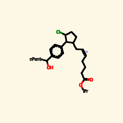 CCCCCC(O)c1ccc(C2C(Cl)CCC2C/C=C\CCCC(=O)OC(C)C)cc1